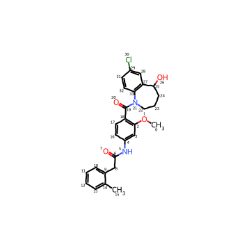 COc1cc(NC(=O)Cc2ccccc2C)ccc1C(=O)N1CCCC(O)c2cc(Cl)ccc21